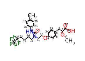 CCOC(Cc1ccc(OCCN(CCCCC(F)(F)C(F)(F)F)C(=O)Nc2ccc(C)cc2)cc1)C(=O)O